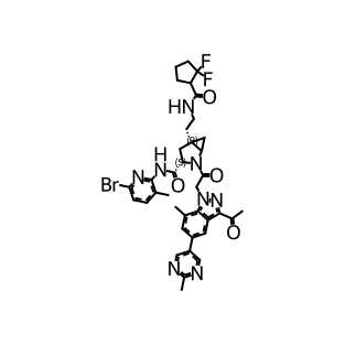 CC(=O)c1nn(CC(=O)N2C3C[C@]3(CCNC(=O)C3CCCC3(F)F)C[C@H]2C(=O)Nc2nc(Br)ccc2C)c2c(C)cc(-c3cnc(C)nc3)cc12